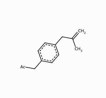 C=C(C)Cc1ccc(CC(C)=O)cc1